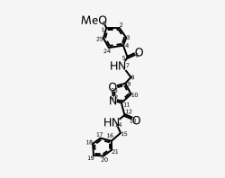 COc1ccc(C(=O)NCc2cc(C(=O)NCc3ccccc3)no2)cc1